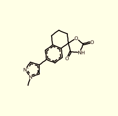 Cn1cc(-c2ccc3c(c2)CCCC32OC(=O)NC2=O)cn1